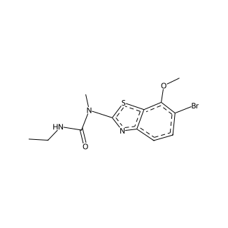 CCNC(=O)N(C)c1nc2ccc(Br)c(OC)c2s1